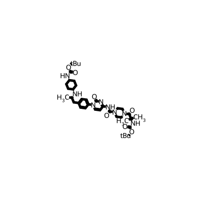 CC(Cc1ccc(-n2ccc(NC(=O)N3CCN(C(=O)C(C)(C)NC(=O)OC(C)(C)C)CC3)nc2=O)cc1)N[C@H]1CC[C@@H](NC(=O)OC(C)(C)C)CC1